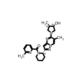 Cc1cccc(C(=O)N2CCCC[C@H]2c2cc3nc(N4C[C@@H](C)[C@@H](O)C4)c(C)cn3n2)n1